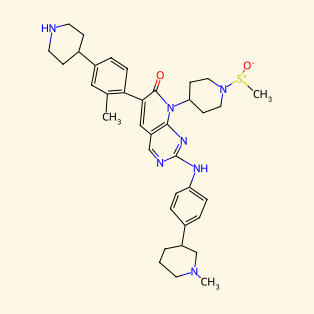 Cc1cc(C2CCNCC2)ccc1-c1cc2cnc(Nc3ccc(C4CCCN(C)C4)cc3)nc2n(C2CCN([S+](C)[O-])CC2)c1=O